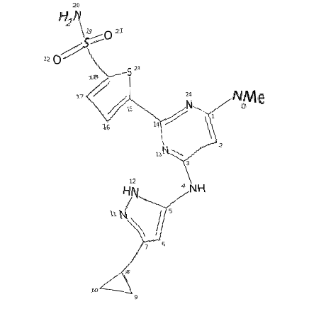 CNc1cc(Nc2cc(C3CC3)n[nH]2)nc(-c2ccc(S(N)(=O)=O)s2)n1